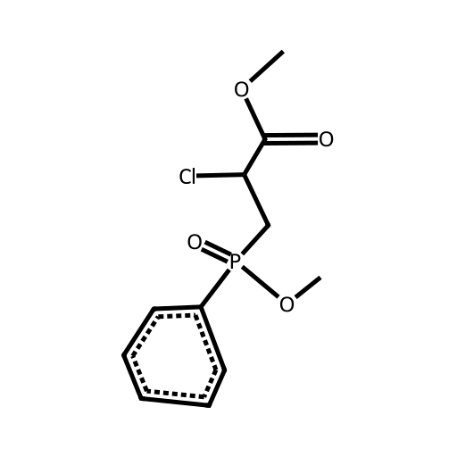 COC(=O)C(Cl)CP(=O)(OC)c1ccccc1